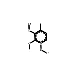 CCOc1c(C)cc[si](OCC)c1OCC